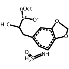 CCCCCCCC[S+]([O-])C(C)Cc1ccc2c(c1)OCO2.N=[SH2]=O